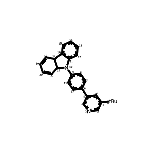 CC(C)(C)c1cncc(-c2ccc(N3c4ccccc4C4C=CC=CC43)cc2)c1